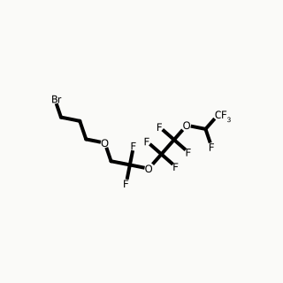 FC(OC(F)(F)C(F)(F)OC(F)(F)COCCCBr)C(F)(F)F